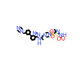 COC(=O)Nc1nc(C)c(S(=O)(=O)N2CCN(CC(C)Nc3ncnc4c(-c5cccc(CN6CCN(C)CC6)c5)cccc34)CC2)s1